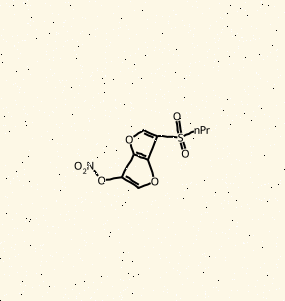 CCCS(=O)(=O)c1coc2c(O[N+](=O)[O-])coc12